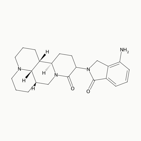 Nc1cccc2c1CN(C1CC[C@@H]3[C@H]4CCCN5CCC[C@@H](CN3C1=O)[C@@H]45)C2=O